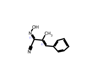 CC(=C\c1ccccc1)/C(C#N)=N\O